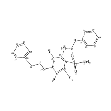 NS(=O)(=O)c1c(F)c(F)c(SCCc2ccccc2)c(F)c1NCCc1ccccc1